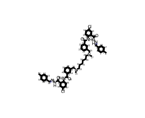 Cc1ccc(/C=N/NC(=O)c2cc(Cl)ccc2NC(=O)c2cccc(CN(C)CCCCCCN(C)Cc3cccc(C(=O)Nc4ccc(Cl)cc4C(=O)N/N=C/c4ccc(C)cc4)c3)c2)cc1